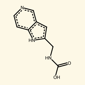 O=C(O)NCc1cc2cnccc2[nH]1